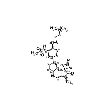 CN(C)CCCOc1ncc(-c2ccc3ncc4c(c3c2)C2(CNC2)C(=O)N4C)cc1NS(C)(=O)=O